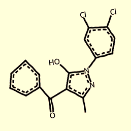 Cc1nn(-c2ccc(Cl)c(Cl)c2)c(O)c1C(=O)c1ccccc1